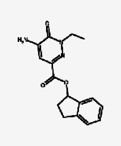 CCn1nc(C(=O)OC2CCc3ccccc32)cc(N)c1=O